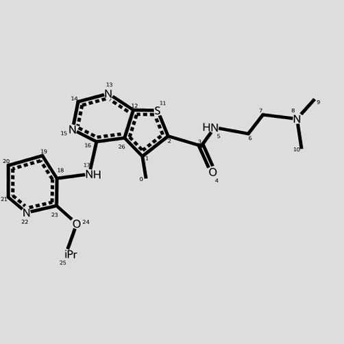 Cc1c(C(=O)NCCN(C)C)sc2ncnc(Nc3cccnc3OC(C)C)c12